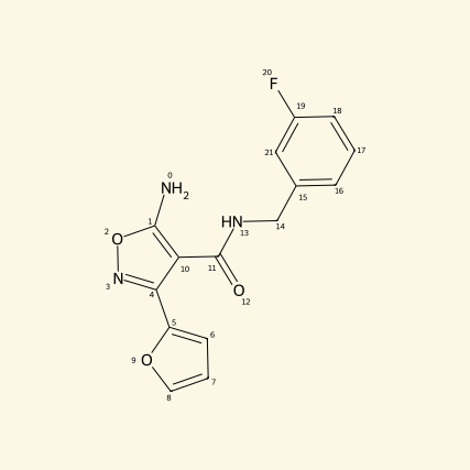 Nc1onc(-c2ccco2)c1C(=O)NCc1cccc(F)c1